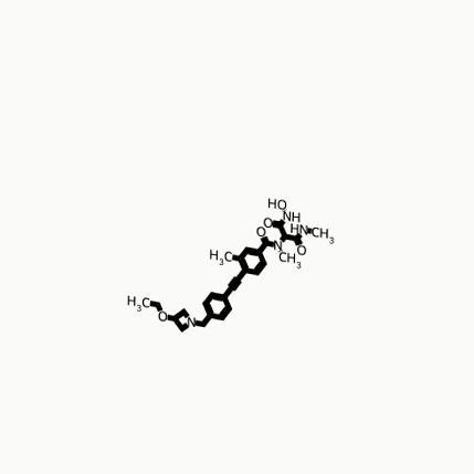 CCOC1CN(Cc2ccc(C#Cc3ccc(C(=O)N(C)C(C(=O)NC)C(=O)NO)cc3C)cc2)C1